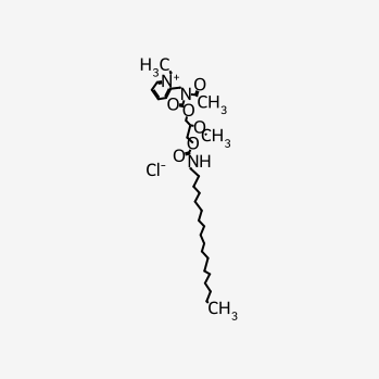 CCCCCCCCCCCCCCCCCCNC(=O)OCC(COC(=O)N(Cc1cccc[n+]1CC)C(C)=O)OC.[Cl-]